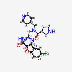 O=C(C1CCNC1)N(Cc1ccncc1)Cc1nc2c(oc3ccc(Br)cc32)c(=O)[nH]1